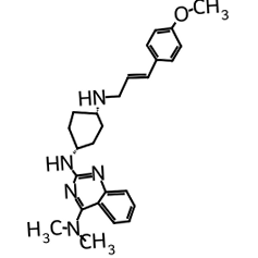 COc1ccc(/C=C/CN[C@H]2CC[C@@H](Nc3nc(N(C)C)c4ccccc4n3)CC2)cc1